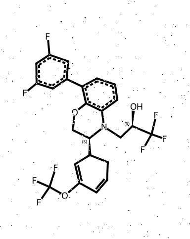 O[C@H](CN1c2cccc(-c3cc(F)cc(F)c3)c2OC[C@@H]1C1C=C(OC(F)(F)F)C=CC1)C(F)(F)F